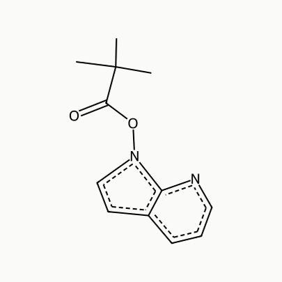 CC(C)(C)C(=O)On1ccc2cccnc21